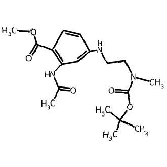 COC(=O)c1ccc(NCCN(C)C(=O)OC(C)(C)C)cc1NC(C)=O